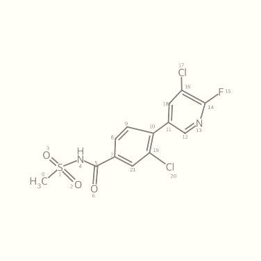 CS(=O)(=O)NC(=O)c1ccc(-c2cnc(F)c(Cl)c2)c(Cl)c1